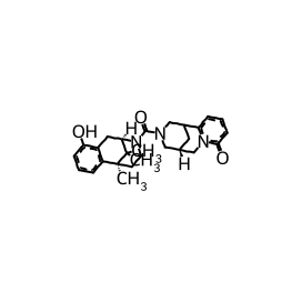 CC1(C)[C@H]2Cc3c(O)cccc3[C@]1(C)CCN2C(=O)N1CC2C[C@@H](C1)Cn1c2cccc1=O